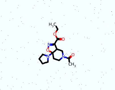 CCOC(=O)C1=NOC2(N3CCCC3)CCN(C(C)=O)CC12